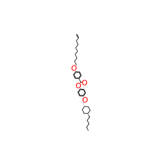 C=CCCCCCCCCOc1ccc(C(=O)Oc2ccc(OC[C@H]3CC[C@H](CCCCC)CC3)cc2)cc1